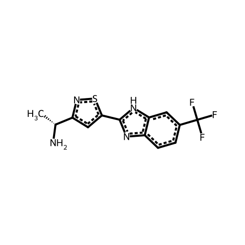 C[C@@H](N)c1cc(-c2nc3ccc(C(F)(F)F)cc3[nH]2)sn1